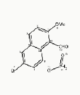 COc1ccc2cc(Br)ccc2c1C=O.O=[PH2]Cl